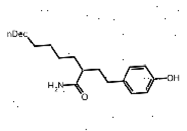 CCCCCCCCCCCCCCC(CCc1ccc(O)cc1)C(N)=O